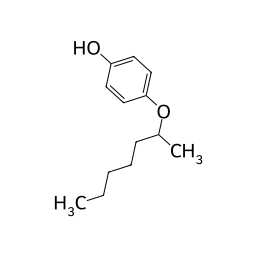 CCCCCC(C)Oc1ccc(O)cc1